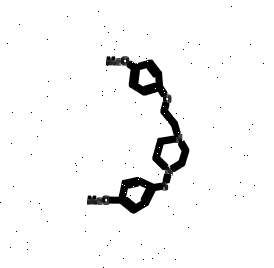 COc1ccc(OCCN2CCN(Sc3ccc(OC)cc3)CC2)cc1